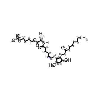 CCCCCCCC(=O)CC[C@@H]1[C@@H](C/C=C\CCCC(=O)NC(C)C(=O)OCCCCO[N+](=O)[O-])[C@@H](O)C[C@H]1O